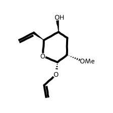 C=CO[C@@H]1O[C@@H](C=C)[C@@H](O)C[C@@H]1OC